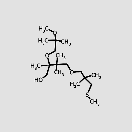 COC(C)(C)CO[C@@](C)(CO)C(C)(C)COCC(C)(C)CSC